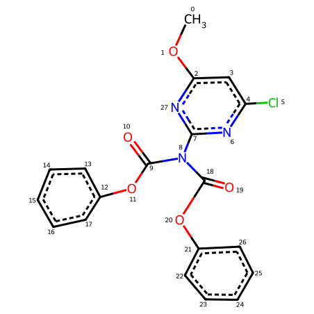 COc1cc(Cl)nc(N(C(=O)Oc2ccccc2)C(=O)Oc2ccccc2)n1